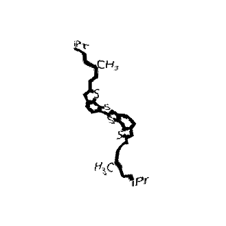 CC(C)CCCC(C)CCc1cc2ccc3c(sc4c5ccc6c(c5sc34)SC(CCC(C)CCCC(C)C)C6)c2s1